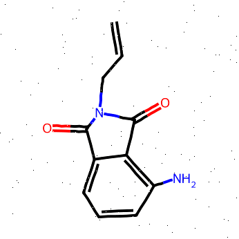 C=CCN1C(=O)c2cccc(N)c2C1=O